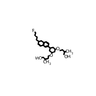 C=C(CO)CCOC1CC(OCCC(=C)CO)CC(c2ccc3c(c2)C=CC(CCCCF)C3)C1